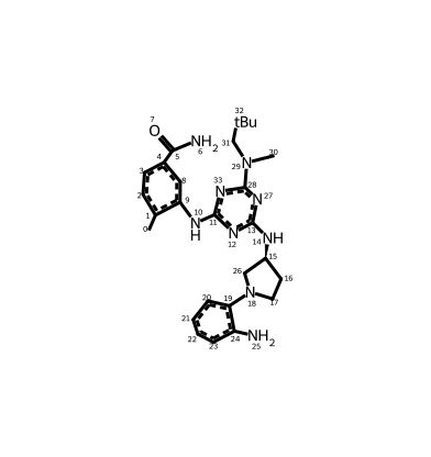 Cc1ccc(C(N)=O)cc1Nc1nc(N[C@H]2CCN(c3ccccc3N)C2)nc(N(C)CC(C)(C)C)n1